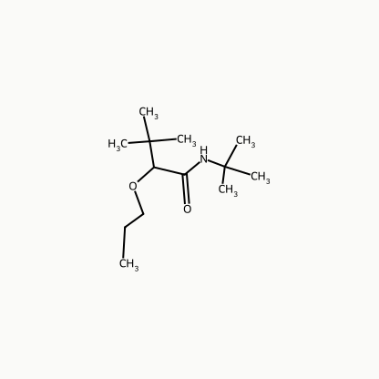 CCCOC(C(=O)NC(C)(C)C)C(C)(C)C